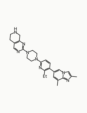 CCc1nc(N2CCN(c3ncc4c(n3)CNCC4)CC2)ccc1-c1cc(C)c2nc(C)cn2c1